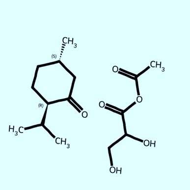 CC(=O)OC(=O)C(O)CO.CC(C)[C@H]1CC[C@H](C)CC1=O